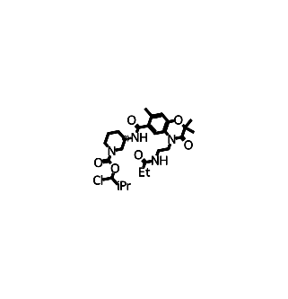 CCC(=O)NCCN1C(=O)C(C)(C)Oc2cc(C)c(C(=O)N[C@@H]3CCCN(C(=O)OC(Cl)C(C)C)C3)cc21